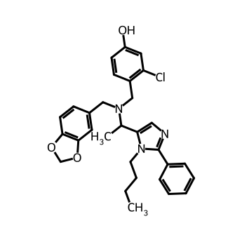 CCCCn1c(C(C)N(Cc2ccc3c(c2)OCO3)Cc2ccc(O)cc2Cl)cnc1-c1ccccc1